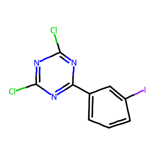 Clc1nc(Cl)nc(-c2cccc(I)c2)n1